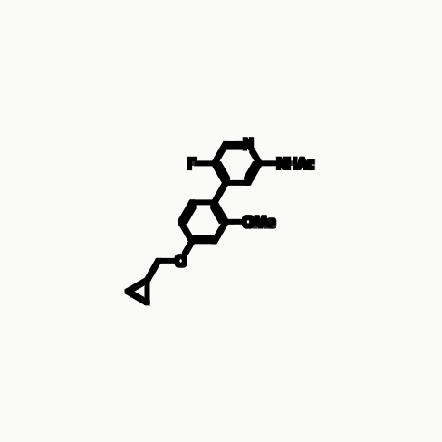 COc1cc(OCC2CC2)ccc1-c1cc(NC(C)=O)ncc1F